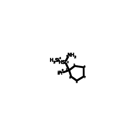 CC(C)C1([SiH](N)[SiH3])CCCCC1